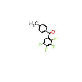 Cc1ccc(C(=O)c2cc(F)c(F)c(F)c2F)cc1